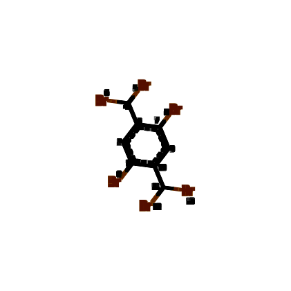 Brc1cc(C(Br)Br)c(Br)cc1C(Br)Br